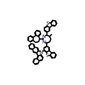 CC1CC/C(c2cc(-n3c4cc5ccccc5cc4c4c5ccccc5ccc43)c3sc4ccccc4c3c2)=N\C(C2CCc3ccccc3-c3ccccc32)=N/C1c1ccc2sc3ccccc3c2c1